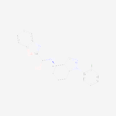 OC(N[C@@H]1CCCc2c1cnn2-c1ccccc1F)c1nc2ccccc2o1